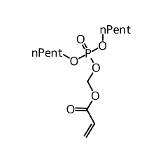 C=CC(=O)OCOP(=O)(OCCCCC)OCCCCC